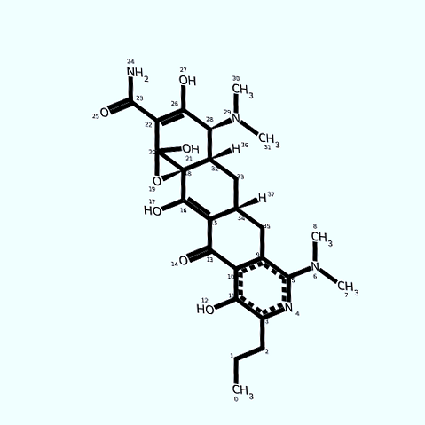 CCCc1nc(N(C)C)c2c(c1O)C(=O)C1=C(O)[C@]34OC3(O)C(C(N)=O)=C(O)[C@@H](N(C)C)[C@@H]4C[C@@H]1C2